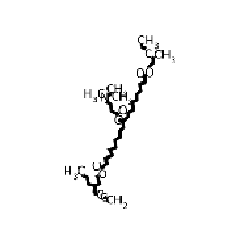 C=C=C=CC(CCCC)CCOC(=O)CCCCCCCCCC(CCCCCCCCCC(=O)OCCC(C)CCCC)OC(=O)CCCN(C)C(C)C